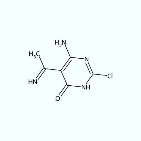 CC(=N)c1c(N)nc(Cl)[nH]c1=O